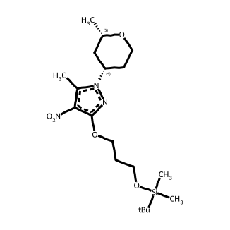 Cc1c([N+](=O)[O-])c(OCCCO[Si](C)(C)C(C)(C)C)nn1[C@H]1CCO[C@@H](C)C1